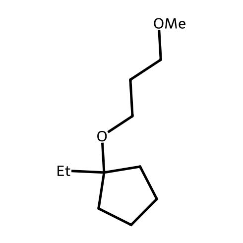 CCC1(OCCCOC)CCCC1